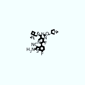 CN1CC[C@@H](COc2nc(N(C)CC3(N(C)C)CCC3)c3cnc(-c4ccc(F)c5sc(N)c(C#N)c45)c(F)c3n2)C1